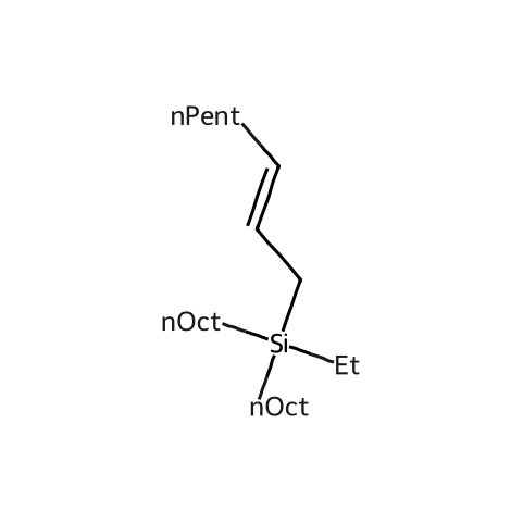 CCCCC/C=C/C[Si](CC)(CCCCCCCC)CCCCCCCC